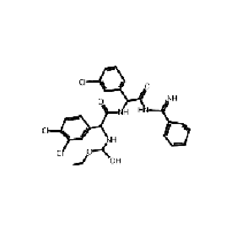 CCOC(O)NC(C(=O)NC(C(=O)NC(=N)c1ccccc1)c1cccc(Cl)c1)c1ccc(Cl)c(Cl)c1